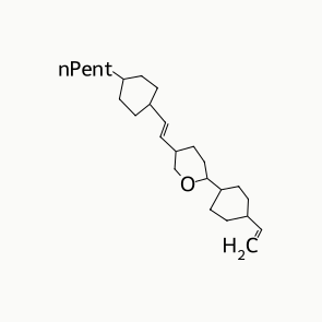 C=CC1CCC(C2CCC(/C=C/C3CCC(CCCCC)CC3)CO2)CC1